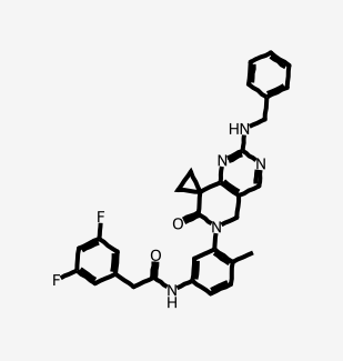 Cc1ccc(NC(=O)Cc2cc(F)cc(F)c2)cc1N1Cc2cnc(NCc3ccccc3)nc2C2(CC2)C1=O